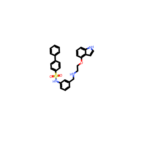 O=S(=O)(Nc1cccc(CNCCOc2cccc3[nH]ccc23)c1)c1ccc(-c2ccccc2)cc1